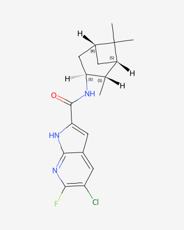 C[C@@H]1[C@@H](NC(=O)c2cc3cc(Cl)c(F)nc3[nH]2)C[C@H]2C[C@@H]1C2(C)C